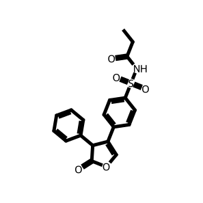 CCC(=O)NS(=O)(=O)c1ccc(C2=COC(=O)C2c2ccccc2)cc1